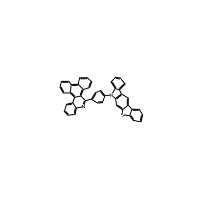 c1ccc2c(c1)nc(-c1ccc(-n3c4ccccc4c4cc5c(cc43)sc3ccccc35)cc1)c1c3ccccc3c3ccccc3c21